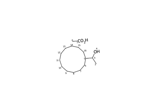 CC(=O)O.CC(O)C1CCCCCCCCCCC1